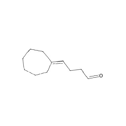 O=CCCC=C1CCCCCC1